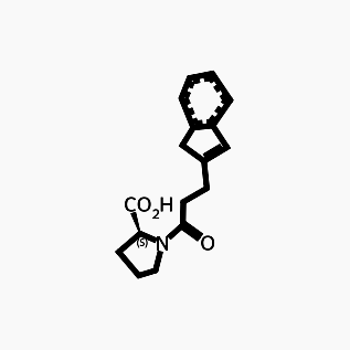 O=C(O)[C@@H]1CCCN1C(=O)CCC1=Cc2ccccc2C1